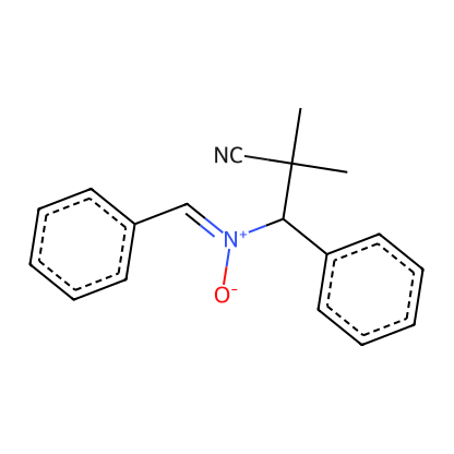 CC(C)(C#N)C(c1ccccc1)[N+]([O-])=Cc1ccccc1